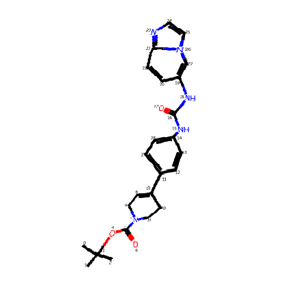 CC(C)(C)OC(=O)N1CC=C(c2ccc(NC(=O)Nc3ccc4nccn4c3)cc2)CC1